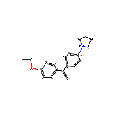 C=C(c1ccc(OCC)cc1)c1ccc(N2CCCC2)cc1